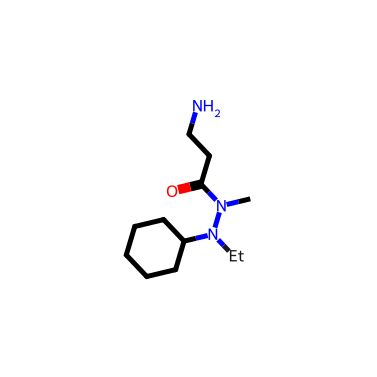 CCN(C1CCCCC1)N(C)C(=O)CCN